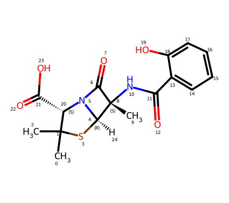 CC1(C)S[C@H]2N(C(=O)[C@]2(C)NC(=O)c2ccccc2O)[C@H]1C(=O)O